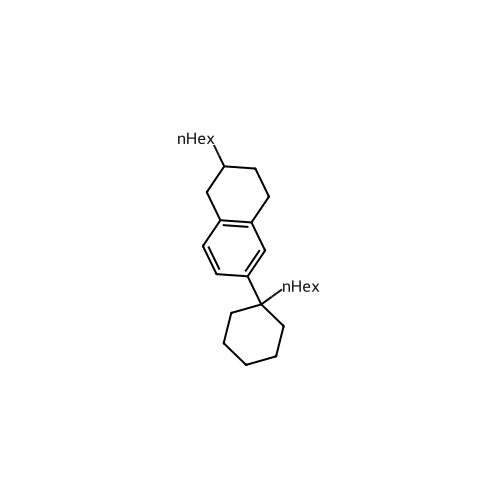 CCCCCCC1CCc2cc(C3(CCCCCC)CCCCC3)ccc2C1